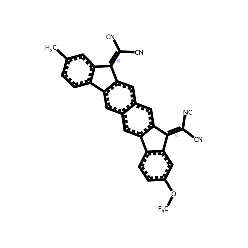 [C-]#[N+]/C(C#N)=C1\c2cc(C)ccc2-c2cc3cc4c(cc3cc21)/C(=C(/C#N)[N+]#[C-])c1cc(OC(F)(F)F)ccc1-4